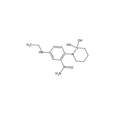 CCNc1ccc(N2CCCCS2(O)O)c(C(N)=O)c1